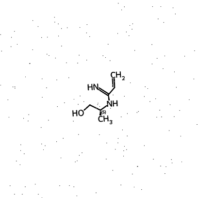 C=CC(=N)N[C@@H](C)CO